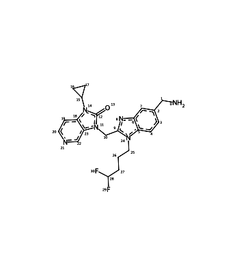 NCc1ccc2c(c1)nc(Cn1c(=O)n(C3CC3)c3ccncc31)n2CCCC(F)F